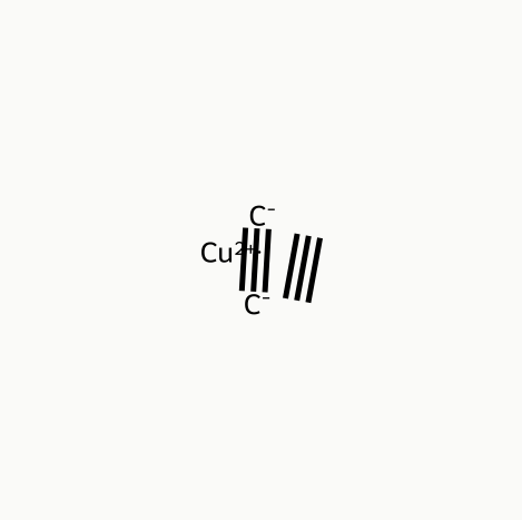 C#C.[C-]#[C-].[Cu+2]